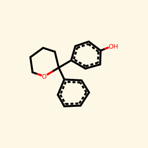 Oc1ccc(C2(c3ccccc3)CCCCO2)cc1